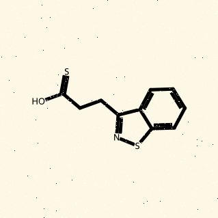 OC(=S)CCc1nsc2ccccc12